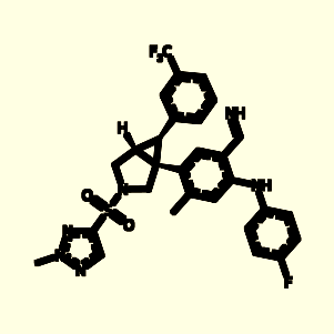 Cc1cc(Nc2ccc(F)cc2)c(C=N)cc1[C@@]12CN(S(=O)(=O)c3cnn(C)n3)C[C@@H]1[C@H]2c1cccc(C(F)(F)F)c1